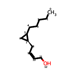 CCCCCC1C[C@@H]1C/C=C\CO